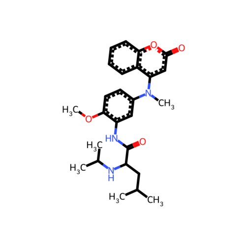 COc1ccc(N(C)c2cc(=O)oc3ccccc23)cc1NC(=O)C(CC(C)C)NC(C)C